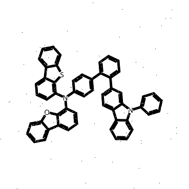 c1ccc(-n2c3ccccc3c3ccc(-c4ccccc4-c4ccc(N(c5cccc6c5oc5ccccc56)c5cccc6c5sc5ccccc56)cc4)cc32)cc1